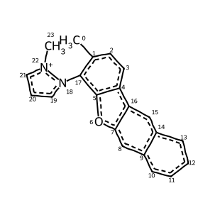 Cc1ccc2c(oc3cc4ccccc4cc32)c1-n1ccc[n+]1C